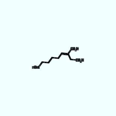 CCCCCCCCCCCCC=C(CC(=O)O)C(=O)O